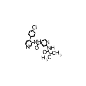 CC(C)C(=O)Nc1cc(C(=O)Nc2cnccc2-c2ccc(Cl)cc2)ccn1